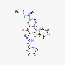 CCCN(CCC(C)CC)c1cc2c(=O)c(C(C)NCc3ccccn3)c3sc4ccccc4n3c2nn1